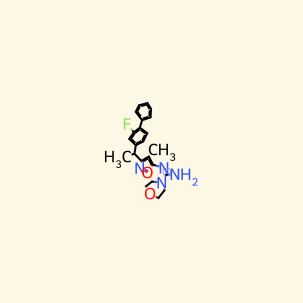 Cc1c(C(C)c2ccc(-c3ccccc3)c(F)c2)noc1/N=C(/N)N1CCOCC1